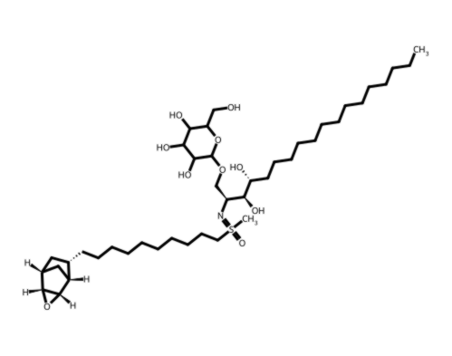 CCCCCCCCCCCCCC[C@@H](O)[C@@H](O)[C@H](COC1OC(CO)C(O)C(O)C1O)N=S(C)(=O)CCCCCCCCCC[C@H]1C[C@@H]2C[C@H]1[C@@H]1O[C@H]21